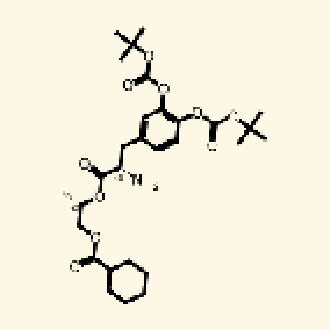 C[C@@H](COC(=O)C1CCCCC1)OC(=O)[C@@H](N)Cc1ccc(OC(=O)OC(C)(C)C)c(OC(=O)OC(C)(C)C)c1